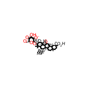 CC1(C(=O)O)CC[C@]2(C)CC[C@]3(C)C(=CC(=O)[C@@H]4[C@@]5(C)CC[C@H](O[C@]6(S(=O)(=O)O)O[C@H](C[O-])[C@@H]([O-])[C@H](O)[C@H]6[O-])C(C)(C)C5CC[C@]43C)[C@@H]2C1.[Na+].[Na+].[Na+]